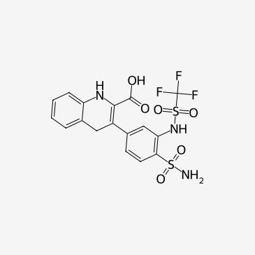 NS(=O)(=O)c1ccc(C2=C(C(=O)O)Nc3ccccc3C2)cc1NS(=O)(=O)C(F)(F)F